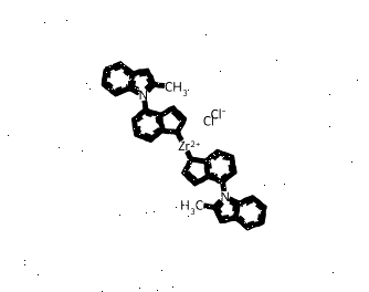 Cc1cc2ccccc2n1-c1cccc2c1C=C[CH]2[Zr+2][CH]1C=Cc2c1cccc2-n1c(C)cc2ccccc21.[Cl-].[Cl-]